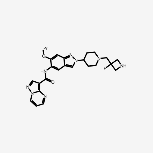 CC(C)Oc1cc2nn(C3CCN(CC4(F)CNC4)CC3)cc2cc1NC(=O)c1cnn2cccnc12